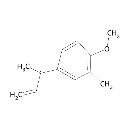 C=C[C](C)c1ccc(OC)c(C)c1